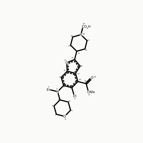 CCc1c(N(CC)C2CCOCC2)cc2oc(C3CCN(C(=O)O)CC3)cc2c1C(=O)OC